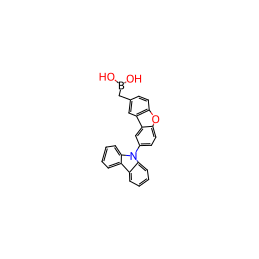 OB(O)Cc1ccc2oc3ccc(-n4c5ccccc5c5ccccc54)cc3c2c1